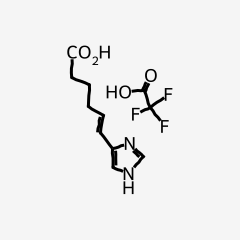 O=C(O)C(F)(F)F.O=C(O)CCCC=Cc1c[nH]cn1